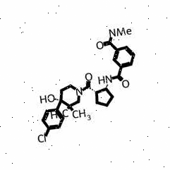 CNC(=O)c1cccc(C(=O)N[C@@H]2CCC[C@@H]2C(=O)N2CC[C@](O)(c3ccc(Cl)cc3)C(C)(C)C2)c1